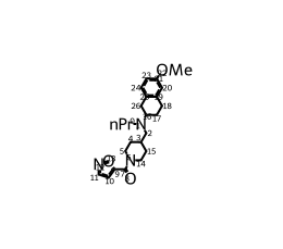 CCCN(CC1CCN(C(=O)c2ccno2)CC1)C1CCc2cc(OC)ccc2C1